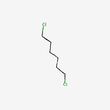 Cl[CH]CCCCCCl